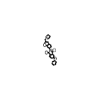 O=C1c2ccc(Oc3ccccc3)cc2C(=O)N1c1ccc2c(c1)OCC(CN1CCCC1)=C2